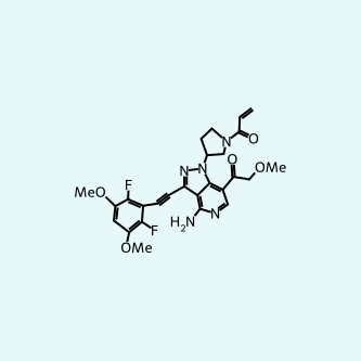 C=CC(=O)N1CCC(n2nc(C#Cc3c(F)c(OC)cc(OC)c3F)c3c(N)ncc(C(=O)COC)c32)C1